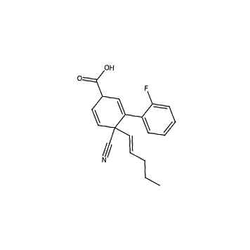 CCC/C=C/C1(C#N)C=CC(C(=O)O)C=C1c1ccccc1F